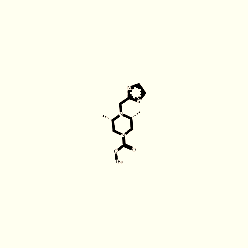 C[C@@H]1CN(C(=O)OC(C)(C)C)C[C@H](C)N1Cc1nccs1